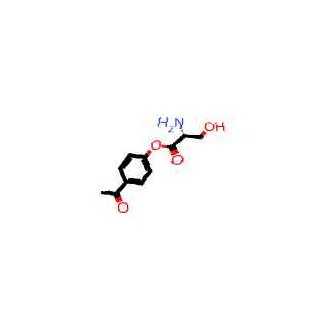 CC(=O)c1ccc(OC(=O)[C@H](N)CO)cc1